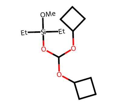 CC[Si](CC)(OC)OC(OC1CCC1)OC1CCC1